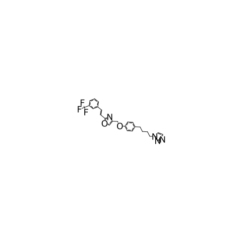 FC(F)(F)c1cccc(C=Cc2nc(COc3ccc(CCCCn4ccnn4)cc3)co2)c1